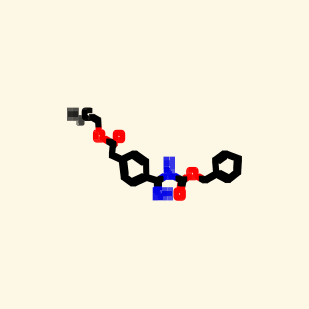 CCOC(=O)Cc1ccc(C(=N)NC(=O)OCc2ccccc2)cc1